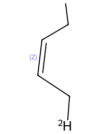 [2H]C/C=C\CC